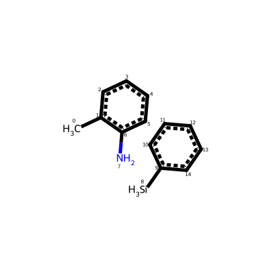 Cc1ccccc1N.[SiH3]c1ccccc1